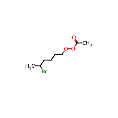 CC(=O)OOCCCCC(C)Br